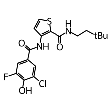 CC(C)(C)CCNC(=O)c1sccc1NC(=O)c1cc(F)c(O)c(Cl)c1